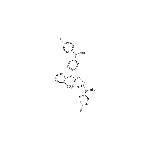 CCCCN(c1ccc(F)cc1)c1ccc(C(c2ccc(N(CCCC)c3ccc(F)cc3)cc2)c2ccccc2S(=O)(=O)O)cc1